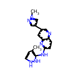 CC1=C(Nc2ccc3ncc(-c4cnn(C)c4)cc3n2)NNC=C1